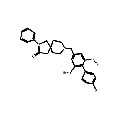 CCOc1cc(CN2CCC3(CC2)CC(=O)N(c2ccccc2)C3)cc(OCC)c1-c1ccc(F)cc1